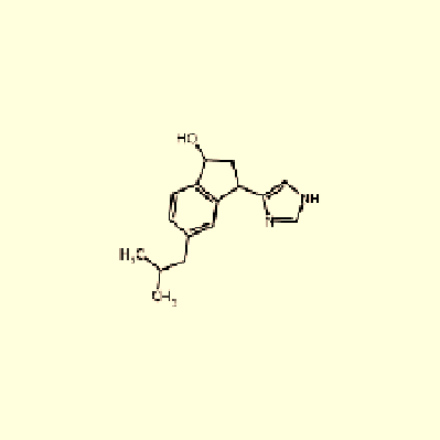 CC(C)Cc1ccc2c(c1)C(c1c[nH]cn1)CC2O